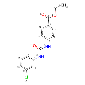 CCOC(=O)c1ccc(NC(=O)Nc2cccc(Cl)c2)cc1